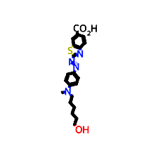 CN(CCCCCCO)c1ccc(/N=N/c2nc3ccc(C(=O)O)cc3s2)cc1